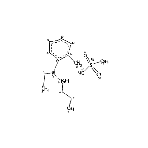 CCN(NCCO)c1ccccc1C.O=S(=O)(O)O